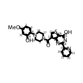 COc1ccc(N2CCN(C(=O)c3csc4c(O)nc(-c5ccccn5)nc34)CC2)c(O)c1